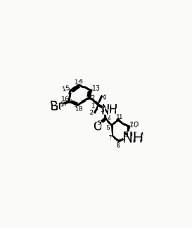 CC(C)(NC(=O)C1CCNCC1)c1cccc(Br)c1